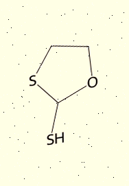 SC1OCCS1